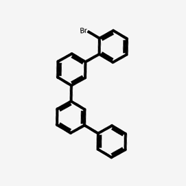 Brc1ccccc1-c1cccc(-c2cccc(-c3ccccc3)c2)c1